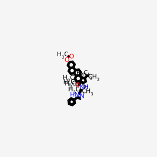 C=C(C)C1CCC2(C(=O)NC(C)(C)c3ncc(-c4ccccc4)[nH]3)C1(C)C1CCC3C4CCC(OC(C)=O)CC4CCC3C1C(C)(C)C2(C)C